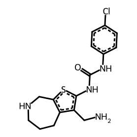 NCc1c(NC(=O)Nc2ccc(Cl)cc2)sc2c1CCCNC2